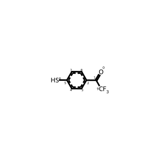 O=C(c1ccc(S)cc1)C(F)(F)F